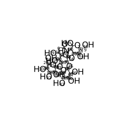 CC(=O)N[C@H]1C(O)O[C@H](CO)[C@@H](O)[C@@H]1O[C@@H]1O[C@H](CO)[C@H](O)[C@H](O[C@H]2O[C@H](CO)[C@H](O)[C@H](O)[C@H]2O)[C@H]1O[C@@H]1O[C@@H](C)[C@@H](O)[C@@H](O)[C@@H]1O